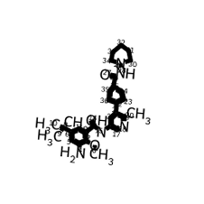 COc1c(N)cc(C(C)(C)C)cc1C(=O)Nc1cnc(C)c(-c2ccc(C(=O)NN3CCCCC3)cc2)c1